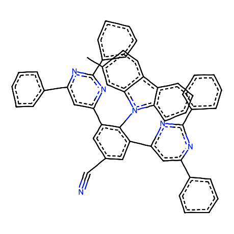 Cc1ccc2c3ccccc3n(-c3c(-c4cc(-c5ccccc5)nc(-c5ccccc5)n4)cc(C#N)cc3-c3cc(-c4ccccc4)nc(-c4ccccc4)n3)c2c1